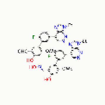 CCn1cnc2c(-c3ccc(F)c(-c4cc(C=NO)c(O)cc4OC)c3)cnnc21.CCn1cnc2c(-c3ccc(F)c(-c4cc(C=O)c(O)cc4OC)c3)cnnc21